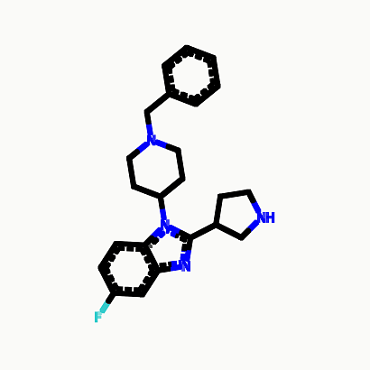 Fc1ccc2c(c1)nc(C1CCNC1)n2C1CCN(Cc2ccccc2)CC1